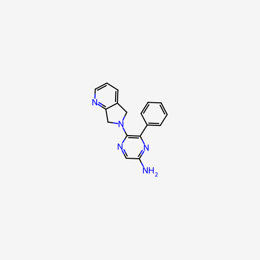 Nc1cnc(N2Cc3cccnc3C2)c(-c2ccccc2)n1